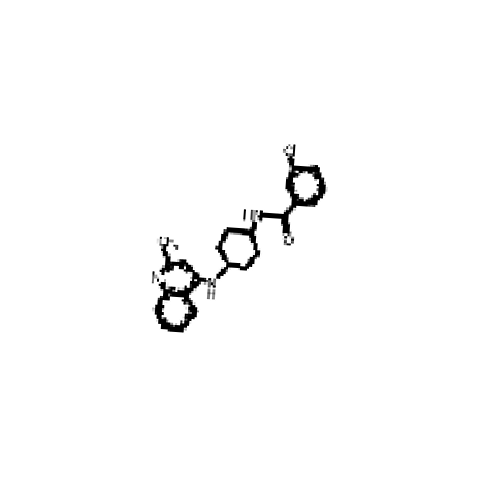 O=C(NC1CCC(Nc2cc(C(F)(F)F)nc3ccccc23)CC1)c1cccc(Cl)c1